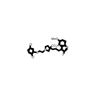 COc1ccc2ncc(F)c(CCCC3(C(=O)O)CCN(CCSc4cc(Cl)ccc4Cl)C3)c2c1